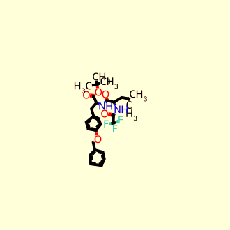 CC(C)CC(NC(=O)C(F)(F)F)C(=O)NC(Cc1ccc(OCc2ccccc2)cc1)C(=O)OC(C)(C)C